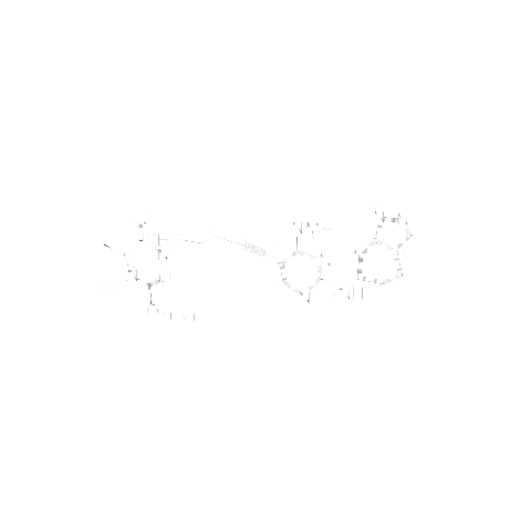 CNc1nc(Nc2ccc3cnn(C)c3c2)ncc1C#CCCCNC(=O)[C@H](C)N(C)C(=O)OC(C)(C)C